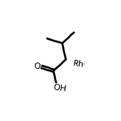 CC(C)CC(=O)O.[Rh]